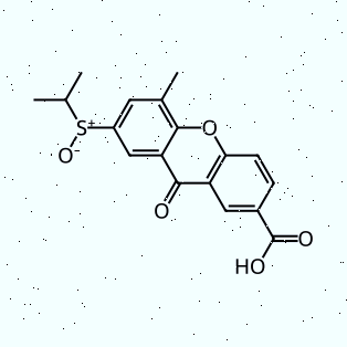 Cc1cc([S+]([O-])C(C)C)cc2c(=O)c3cc(C(=O)O)ccc3oc12